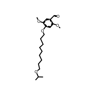 COc1cc(OCCCCCCCCCOC(C)C)c(OC)cc1C=O